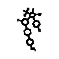 Cc1c(S(C)(=O)=O)c(-c2cc(F)cc(N3CCN(c4ccc([N+](=O)[O-])cc4)CC3)c2)c(-c2ccc(Cl)cc2)n1C(C)C